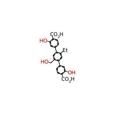 CCc1cc(-c2ccc(C(=O)O)c(O)c2)c(CO)cc1-c1ccc(C(=O)O)c(O)c1